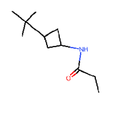 CCC(=O)NC1CC(C(C)(C)C)C1